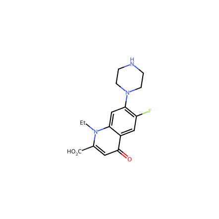 CCn1c(C(=O)O)cc(=O)c2cc(F)c(N3CCNCC3)cc21